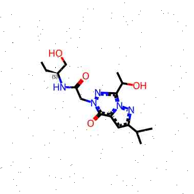 CC[C@@H](CO)NC(=O)Cn1nc(C(C)O)n2nc(C(C)C)cc2c1=O